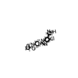 CN(C(=O)[C@H]1CCCO1)C1CCN(c2cnc3cc(Cl)c(-c4cn[nH]c4)cc3n2)CC1